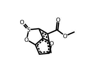 COC(=O)c1c2c3oc1cc3OS2=O